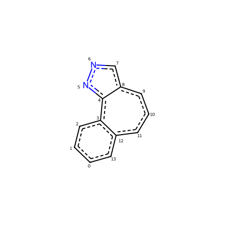 c1ccc2c3nncc-3cccc2c1